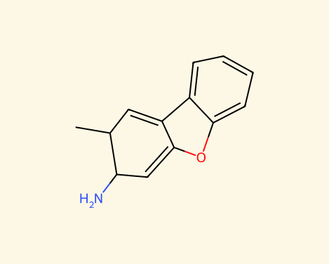 CC1C=c2c(oc3ccccc23)=CC1N